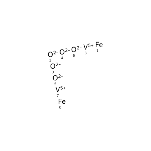 [Fe].[Fe].[O-2].[O-2].[O-2].[O-2].[O-2].[V+5].[V+5]